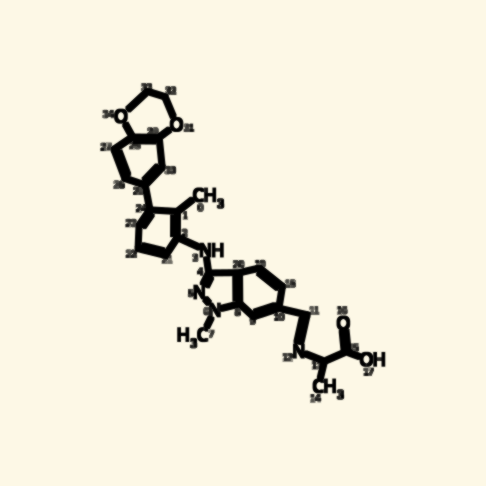 Cc1c(Nc2nn(C)c3cc(C=NC(C)C(=O)O)ccc23)cccc1-c1ccc2c(c1)OCCO2